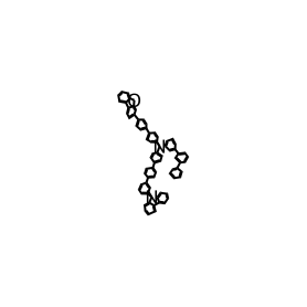 c1ccc(-c2cccc(-c3cccc(N(c4ccc(-c5ccc(-c6cccc(-n7c8ccccc8c8ccccc87)c6)cc5)cc4)c4ccc(-c5ccc(-c6ccc7c(c6)oc6ccccc67)cc5)cc4)c3)c2)cc1